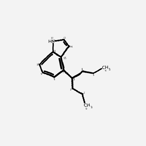 CCCC(CCC)c1cccc2[nH]ccc12